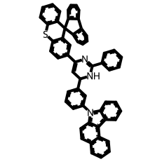 C1=C(c2ccc3c(c2)C2(c4ccccc4S3)c3ccccc3-c3ccccc32)N=C(c2ccccc2)NC1c1cccc(-n2c3ccccc3c3c4ccccc4ccc32)c1